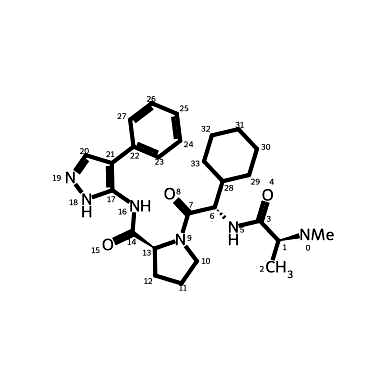 CN[C@@H](C)C(=O)N[C@H](C(=O)N1CCC[C@H]1C(=O)Nc1[nH]ncc1-c1ccccc1)C1CCCCC1